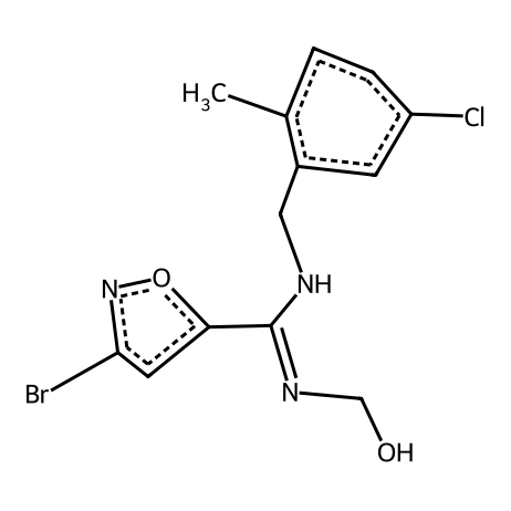 Cc1ccc(Cl)cc1CN/C(=N\CO)c1cc(Br)no1